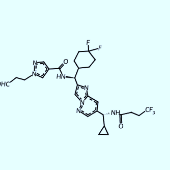 O=CCCn1cc(C(=O)N[C@H](c2cn3ncc([C@H](NC(=O)CCC(F)(F)F)C4CC4)cc3n2)C2CCC(F)(F)CC2)cn1